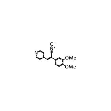 COc1ccc(C(C#[N+][O-])=Cc2ccncc2)cc1OC